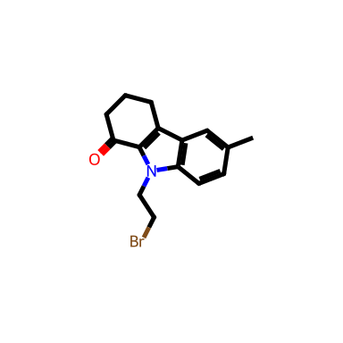 Cc1ccc2c(c1)c1c(n2CCBr)C(=O)CCC1